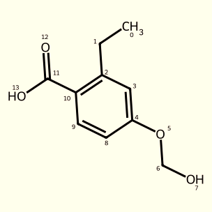 CCc1cc(OCO)ccc1C(=O)O